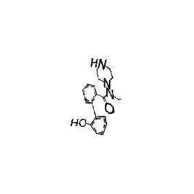 CN(C(=O)c1ccccc1-c1ccccc1O)N1CCNCC1